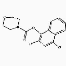 O=C(Oc1c(Cl)cc(Cl)c2ccccc12)N1CCOCC1